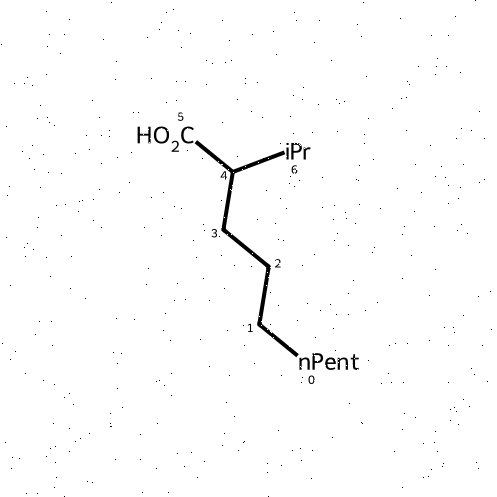 CCCCCCCCC(C(=O)O)C(C)C